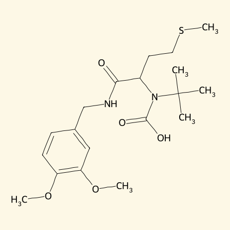 COc1ccc(CNC(=O)C(CCSC)N(C(=O)O)C(C)(C)C)cc1OC